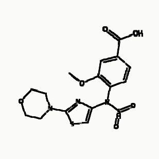 COc1cc(C(=O)O)ccc1N(c1csc(N2CCOCC2)n1)[SH](=O)=O